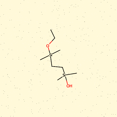 CCO[Si](C)(C)CC[Si](C)(C)O